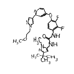 COCCn1cc(-c2cc(Oc3ccc(NC(=O)Nc4cc(C(C)(C)C)nn4C)c(F)c3F)ccn2)cn1